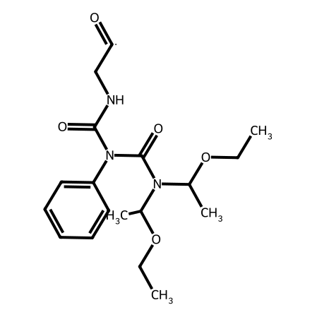 CCOC(C)N(C(=O)N(C(=O)NC[C]=O)c1ccccc1)C(C)OCC